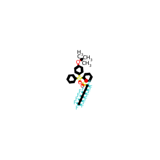 CC(C)(C)Oc1ccc(S(OS(=O)(=O)C(F)(F)C(F)(F)C(F)(F)C(F)(F)C(F)(F)C(F)(F)F)(c2ccccc2)c2ccccc2)cc1